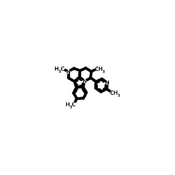 Cc1ccc(C2C(C)CC3CN(C)Cc4c3n2c2c4=CC(C)CC=2)cn1